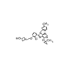 Cc1ccnc(Cn2c(-c3cccc(OCCN4CC(O)C4)c3Cl)nc3c(OC4(C)CC4)ncnc32)c1